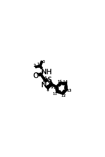 CC(C)NC(=O)c1ncc(-c2ccccc2)s1